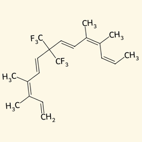 C=C/C(C)=C(C)\C=C\C(/C=C/C(C)=C(C)\C=C/C)(C(F)(F)F)C(F)(F)F